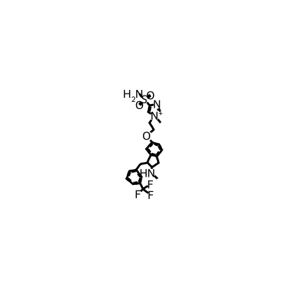 CNC1Cc2ccc(OCC[N+]3(C)C=NC(S(N)(=O)=O)=C3)cc2C1Cc1cccc(C(F)(F)F)c1